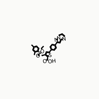 CCOP(=O)(Cc1cc(-c2ccc(-c3cc4ncccn4n3)cc2)sc1C(=O)O)c1ccc(C)cc1C